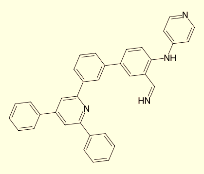 N=Cc1cc(-c2cccc(-c3cc(-c4ccccc4)cc(-c4ccccc4)n3)c2)ccc1Nc1ccncc1